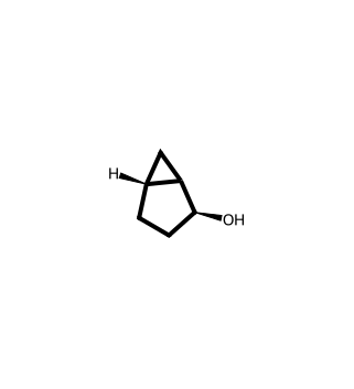 O[C@H]1CC[C@@H]2CC21